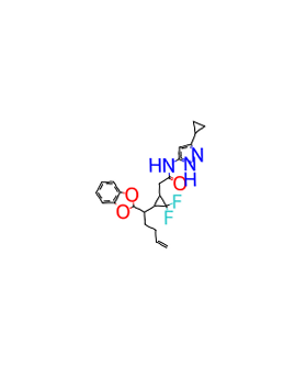 C=CCCC(C1Oc2ccccc2O1)C1C(CC(=O)Nc2cc(C3CC3)n[nH]2)C1(F)F